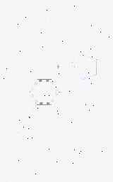 FC(F)(F)c1ccc(C(S)[C@@H]2CCCN2)cc1